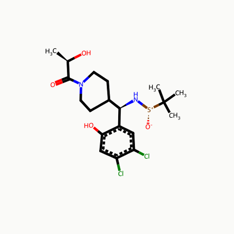 C[C@@H](O)C(=O)N1CCC([C@@H](N[S@@+]([O-])C(C)(C)C)c2cc(Cl)c(Cl)cc2O)CC1